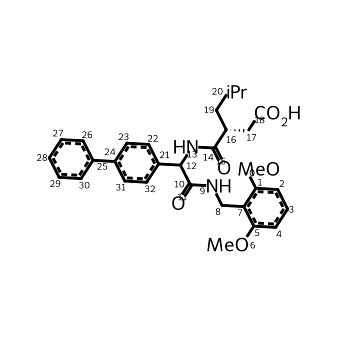 COc1cccc(OC)c1CNC(=O)C(NC(=O)[C@@H](CC(=O)O)CC(C)C)c1ccc(-c2ccccc2)cc1